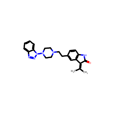 CC(C)=C1C(=O)Nc2ccc(CCN3CCN(n4nnc5ccccc54)CC3)cc21